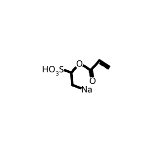 C=CC(=O)OC([CH2][Na])S(=O)(=O)O